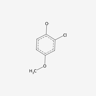 COc1ccc([O])c(Cl)c1